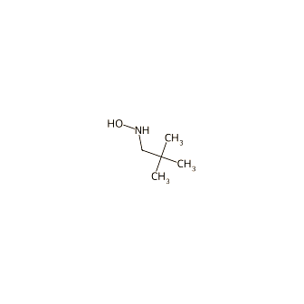 CC(C)(C)CNO